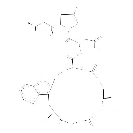 CC[C@H](C)[C@H](NC(=O)[C@@H]1CC(O)CN1C(=O)[C@H](CC(=O)OC)NC(=O)[C@@H]1CSc2[nH]c3ccccc3c2C[C@H](N)C(=O)NCC(=O)N[C@@H]([C@@H](C)CC)C(=O)NCC(=O)N1)C(=O)O